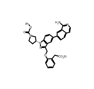 CCOC(=O)Cc1ccccc1OCc1nn([C@@H]2CCN(C(=O)OC(C)C)C2)c2ccc(-c3ccc4ccnc(N)c4c3)cc12